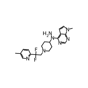 Cc1ccc(C(F)(F)CN2CCC(N(N)c3ncnc4c3ccn4C)CC2)nc1